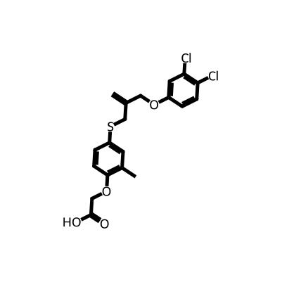 C=C(COc1ccc(Cl)c(Cl)c1)CSc1ccc(OCC(=O)O)c(C)c1